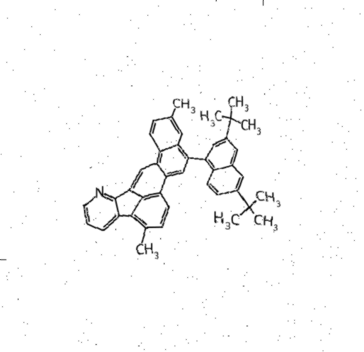 Cc1ccc2c(c1)c(-c1cc(C(C)(C)C)cc3cc(C(C)(C)C)ccc13)cc1c3ccc(C)c4c3c(cc21)-c1ncccc1-4